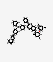 Cc1cc(C)c(-c2cc3nc(-c4ccccc4)c(-c4ccc(N(c5ccccc5)c5ccc(-c6cn7ccccc7n6)cc5)cc4)nc3cc2-c2c(C)cc(C)cc2C)c(C)c1